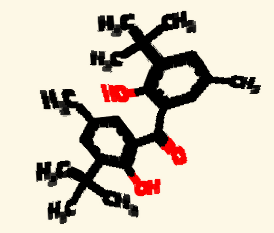 Cc1cc(C(=O)c2cc(C)cc(C(C)(C)C)c2O)c(O)c(C(C)(C)C)c1